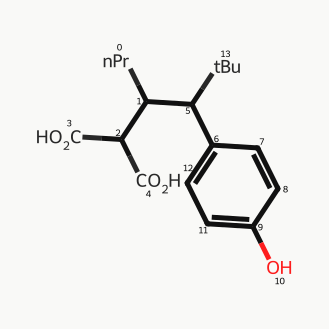 CCCC(C(C(=O)O)C(=O)O)C(c1ccc(O)cc1)C(C)(C)C